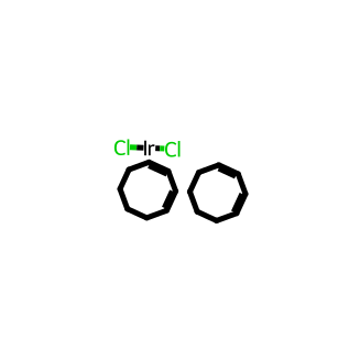 C1=CCCCCC=C1.C1=CCCCCC=C1.[Cl][Ir][Cl]